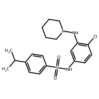 CC(C)c1ccc(S(=O)(=O)Nc2ccc(Cl)c(NN3CCCCC3)c2)cc1